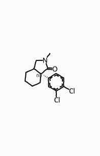 CN1CC2CCCC[C@]2(c2ccc(Cl)c(Cl)c2)C1=O